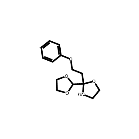 [c]1ccc(OCCC2(C3OCCO3)NCCO2)cc1